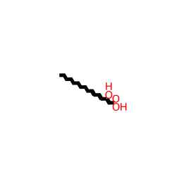 CCCCCCCCC/C=C/C=C/C(O)=C/C(=O)O